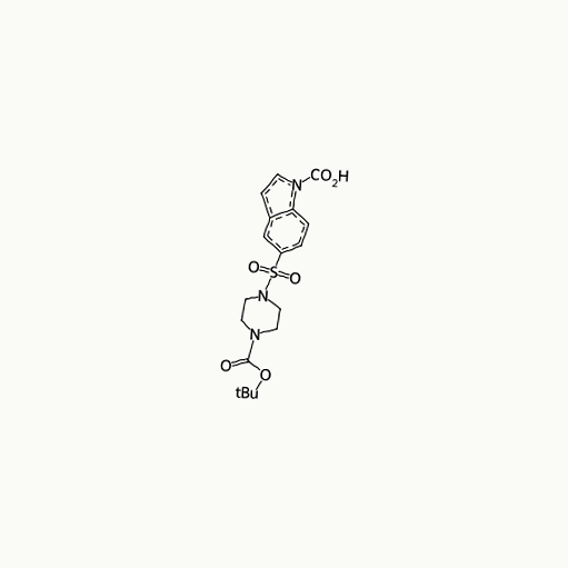 CC(C)(C)OC(=O)N1CCN(S(=O)(=O)c2ccc3c(ccn3C(=O)O)c2)CC1